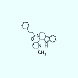 Cc1cccc(C2c3[nH]c4ccccc4c3CCN2C(=O)CCc2ccccc2)n1